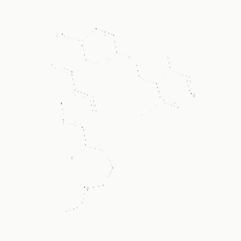 CSN1CCCN(c2ncc(C(=N)c3cc(OCc4c(Cl)cncc4Cl)ccc3N)cn2)CC1